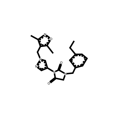 CCc1cccc(CN2CC(=O)N(c3cnn(Cc4c(C)noc4C)c3)C2=O)c1